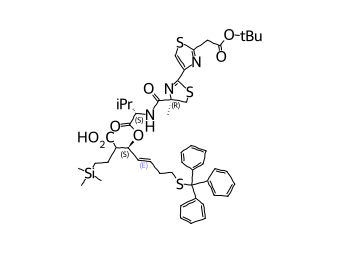 CC(C)[C@H](NC(=O)[C@]1(C)CSC(c2csc(CC(=O)OC(C)(C)C)n2)=N1)C(=O)O[C@@H](/C=C/CCSC(c1ccccc1)(c1ccccc1)c1ccccc1)C(CC[Si](C)(C)C)C(=O)O